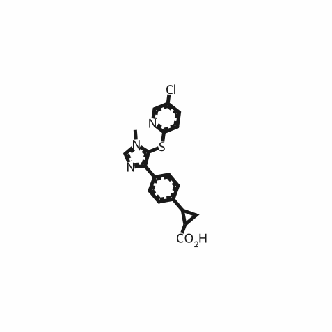 Cn1cnc(-c2ccc(C3CC3C(=O)O)cc2)c1Sc1ccc(Cl)cn1